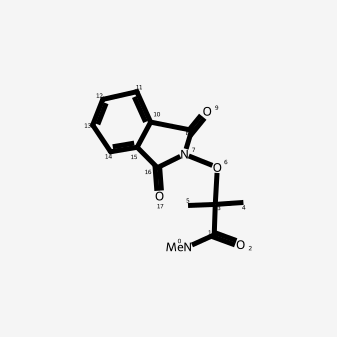 CNC(=O)C(C)(C)ON1C(=O)c2ccccc2C1=O